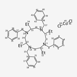 CCC1CN(Cc2ccccc2)C(CC)CN(Cc2ccccc2)C(CC)CN(Cc2ccccc2)C(CC)CN1Cc1ccccc1.[Cl][Co][Cl]